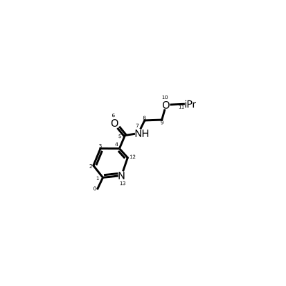 Cc1ccc(C(=O)NCCOC(C)C)cn1